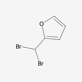 BrC(Br)c1ccco1